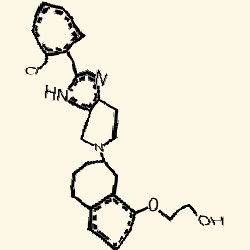 OCCOc1cccc2c1CC(N1CCc3nc(-c4ccccc4Cl)[nH]c3C1)CC2